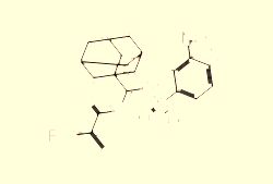 C=C(C(=O)OC(OS(=O)(=O)c1cccc([N+](=O)[O-])c1)C12CC3CC(CC(C3)C1)C2)C(F)(F)F